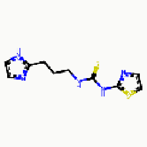 S=C(NCCCc1ncc[nH]1)Nc1nccs1